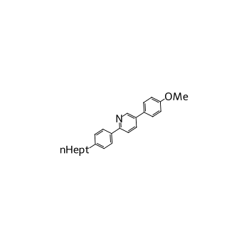 CCCCCCCc1ccc(-c2ccc(-c3ccc(OC)cc3)cn2)cc1